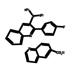 CCCN(CCC)c1cc2ccccc2nc1-c1ccc(F)cc1.O=C(O)c1ccc2ncccc2c1